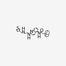 O=C(CC12CC3CC(CC(C3)C1)C2)Nc1cccc2nc(NCCNCc3ccsc3)ccc12